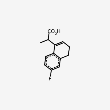 CC(C(=O)O)C1=CCCc2cc(F)ccc21